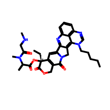 CCCCCN1C=Nc2cccc3nc4c(c1c23)Cn1c-4cc2c(c1=O)COC(=O)[C@@]2(CC)OC(=O)C(C)N(C)C(=O)CNC